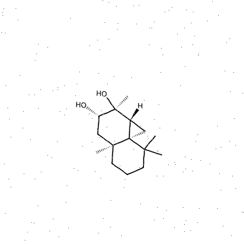 CC1(C)CCC[C@@]2(C)C[C@H](O)[C@@](C)(O)[C@@H]3C[C@]312